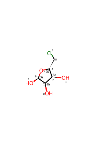 O[C@@H]1[C@H](O)[C@@H](CCl)O[C@@H]1O